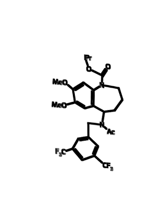 COc1cc2c(cc1OC)N(C(=O)OC(C)C)CCCC2N(Cc1cc(C(F)(F)F)cc(C(F)(F)F)c1)C(C)=O